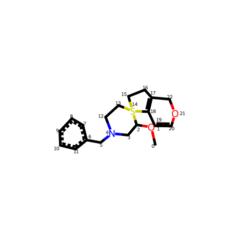 COC1CN(Cc2ccccc2)CCS12CCC1=C2C=COC1